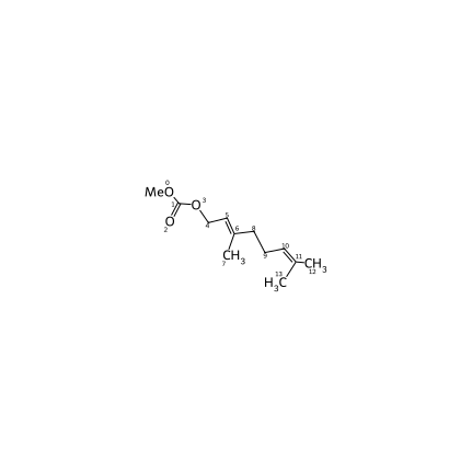 COC(=O)OC/C=C(\C)CCC=C(C)C